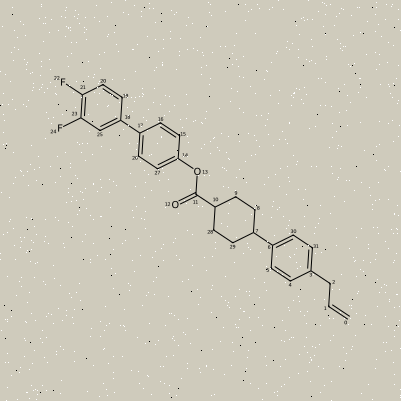 C=CCc1ccc(C2CCC(C(=O)Oc3ccc(-c4ccc(F)c(F)c4)cc3)CC2)cc1